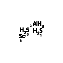 S.S.[AlH3].[Sc]